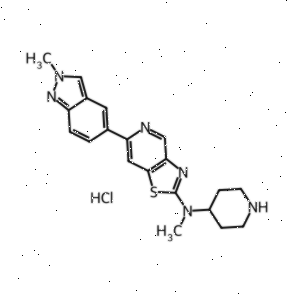 CN(c1nc2cnc(-c3ccc4nn(C)cc4c3)cc2s1)C1CCNCC1.Cl